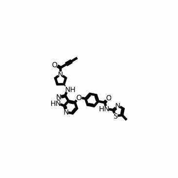 CC#CC(=O)N1CC[C@@H](Nc2n[nH]c3nccc(Oc4ccc(C(=O)Nc5ncc(C)s5)cc4)c23)C1